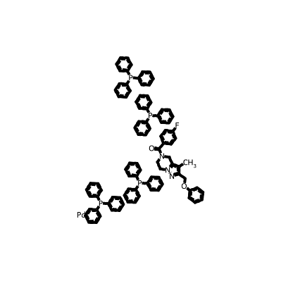 Cc1c(COc2ccccc2)nn2c1CN(C(=O)c1ccc(F)cc1)CC2.[Pd].c1ccc(P(c2ccccc2)c2ccccc2)cc1.c1ccc(P(c2ccccc2)c2ccccc2)cc1.c1ccc(P(c2ccccc2)c2ccccc2)cc1.c1ccc(P(c2ccccc2)c2ccccc2)cc1